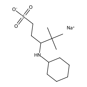 CC(C)(C)C(CCS(=O)(=O)[O-])NC1CCCCC1.[Na+]